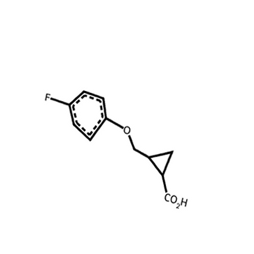 O=C(O)C1CC1COc1ccc(F)cc1